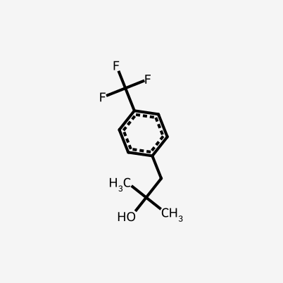 CC(C)(O)Cc1ccc(C(F)(F)F)cc1